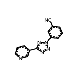 N#Cc1cccc(-n2nnc(-c3cccnc3)n2)c1